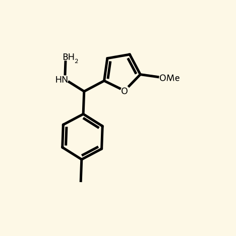 BNC(c1ccc(C)cc1)c1ccc(OC)o1